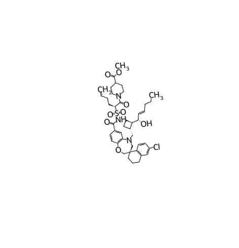 C=CCC[C@@H](C(=O)N1CCC(C(=O)OC)CC1)S(=O)(=O)NC(=O)c1ccc2c(c1)N(C[C@@H]1CC[C@H]1[C@@H](O)/C=C/CCC)C[C@@]1(CCCc3cc(Cl)ccc31)CO2